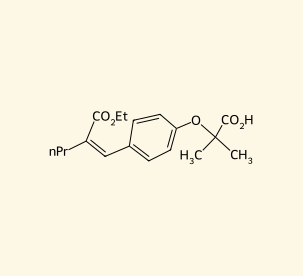 CCCC(=Cc1ccc(OC(C)(C)C(=O)O)cc1)C(=O)OCC